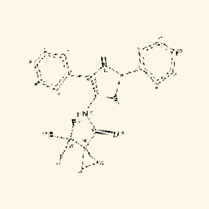 O=C(NC1=C(c2ccccc2)NC(c2ccccc2)S1)C1(C(F)(F)F)CC1